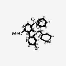 COc1ncc(S(C)(=O)=O)c2c1c1ncc(Br)cc1n2[C@H](c1ccccc1)C1CCOCC1